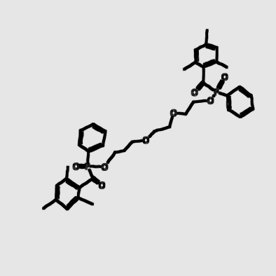 Cc1cc(C)c(C(=O)P(=O)(OCCCOCCOCCOP(=O)(C(=O)c2c(C)cc(C)cc2C)c2ccccc2)c2ccccc2)c(C)c1